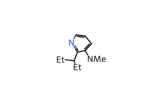 CCC(CC)c1ncccc1NC